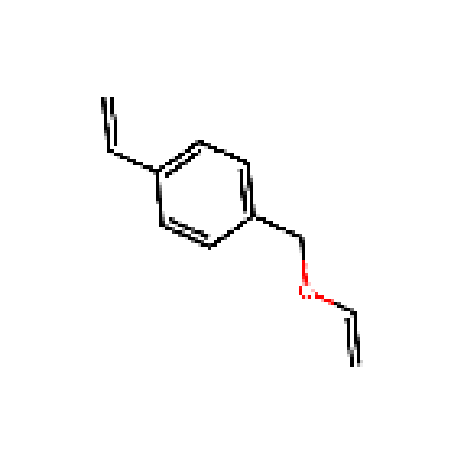 C=COCc1ccc(C=C)cc1